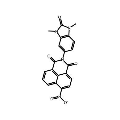 Cn1c(=O)n(C)c2cc(N3C(=O)c4cccc5c([N+](=O)[O-])ccc(c45)C3=O)ccc21